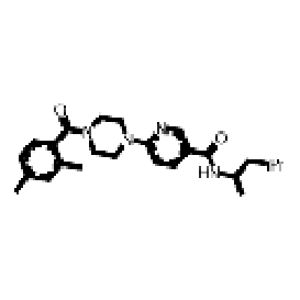 Cc1ccc(C(=O)N2CCN(c3ccc(C(=O)NC(C)CC(C)C)cn3)CC2)c(C)c1